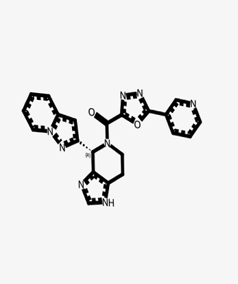 O=C(c1nnc(-c2cccnc2)o1)N1CCc2[nH]cnc2[C@@H]1c1cc2ccccn2n1